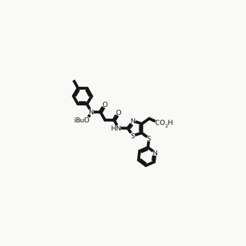 Cc1ccc(N(OCC(C)C)C(=O)CC(=O)Nc2nc(CC(=O)O)c(Sc3ccccn3)s2)cc1